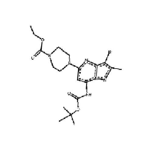 CCOC(=O)N1CCN(c2cc(NC(=O)OC(C)(C)C)n3nc(C)c(Br)c3n2)CC1